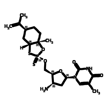 C=C(C)[C@H]1CC[C@@]2(C)O[P@](=S)(OC[C@H]3O[C@@H](n4cc(C)c(=O)[nH]c4=O)C[C@@H]3N)S[C@@H]2C1